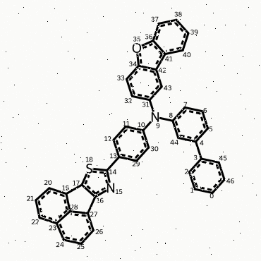 c1ccc(-c2cccc(N(c3ccc(-c4nc5c(s4)-c4cccc6cccc-5c46)cc3)c3ccc4oc5ccccc5c4c3)c2)cc1